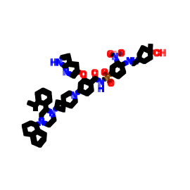 CC(C)c1ccccc1C1CN(C2CCCc3ccccc32)CCN1C1CC2(CCN(c3ccc(C(=O)NS(=O)(=O)c4ccc(NCC5CCC(C)(O)CC5)c([N+](=O)[O-])c4)c(Oc4cnc5[nH]ccc5c4)c3)CC2)C1